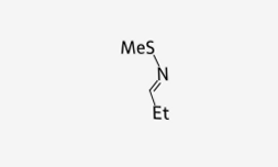 CCC=NSC